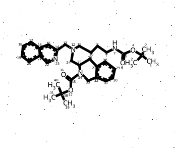 CC(C)(C)OC(=O)NCCCCN(Cc1cc2ccccc2cn1)CC1Cc2ccccc2CN1C(=O)OC(C)(C)C